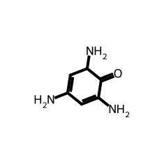 NC1=CC(N)C(=O)C(N)=C1